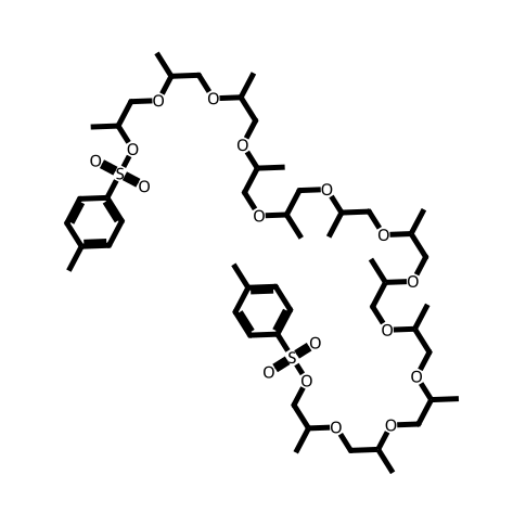 Cc1ccc(S(=O)(=O)OCC(C)OCC(C)OCC(C)OCC(C)OCC(C)OCC(C)OCC(C)OCC(C)OCC(C)OCC(C)OCC(C)OCC(C)OS(=O)(=O)c2ccc(C)cc2)cc1